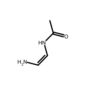 CC(=O)N/C=C\N